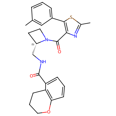 Cc1cccc(-c2sc(C)nc2C(=O)N2CC[C@H]2CNC(=O)c2cccc3c2CCCO3)c1